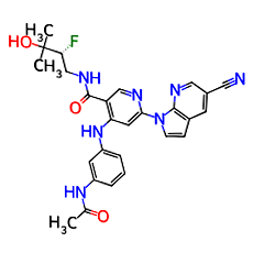 CC(=O)Nc1cccc(Nc2cc(-n3ccc4cc(C#N)cnc43)ncc2C(=O)NC[C@@H](F)C(C)(C)O)c1